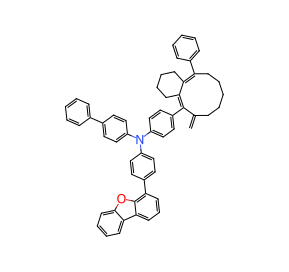 C=C1CCCCC/C(c2ccccc2)=C2/CCCC/C2=C/1c1ccc(N(c2ccc(-c3ccccc3)cc2)c2ccc(-c3cccc4c3oc3ccccc34)cc2)cc1